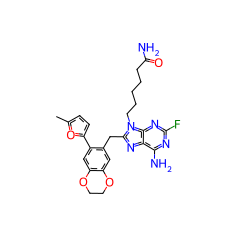 Cc1ccc(-c2cc3c(cc2Cc2nc4c(N)nc(F)nc4n2CCCCCC(N)=O)OCCO3)o1